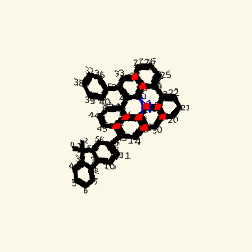 CC1(C)c2ccccc2-c2ccc(-c3ccc(N(c4ccccc4-c4ccccc4)c4cccc(-c5ccccc5)c4-c4ccccc4-c4ccccc4)cc3)cc21